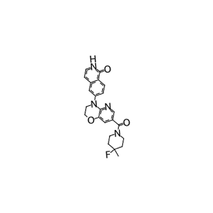 CC1(F)CCN(C(=O)c2cnc3c(c2)OCCN3c2ccc3c(=O)[nH]ccc3c2)CC1